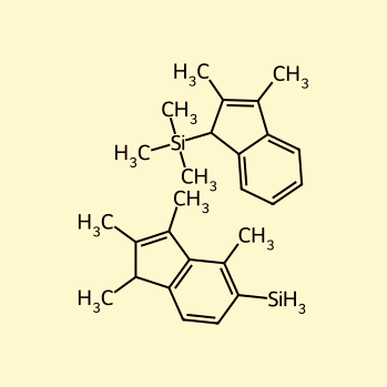 CC1=C(C)C(C)c2ccc([SiH3])c(C)c21.CC1=C(C)C([Si](C)(C)C)c2ccccc21